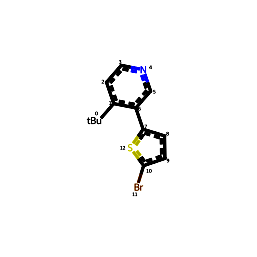 CC(C)(C)c1ccncc1-c1ccc(Br)s1